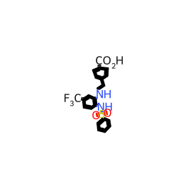 O=C(O)c1ccc(CCNc2cc(C(F)(F)F)ccc2NS(=O)(=O)c2ccccc2)cc1